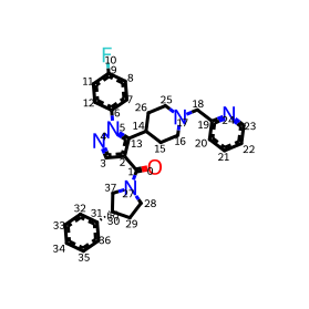 O=C(c1cnn(-c2ccc(F)cc2)c1C1CCN(Cc2ccccn2)CC1)N1CC[C@H](c2ccccc2)C1